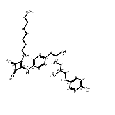 CCCCCCCCNc1c(Nc2ccc(CC(C)NC[C@H](O)COc3ccc(O)cc3)cc2)c(=O)c1=O